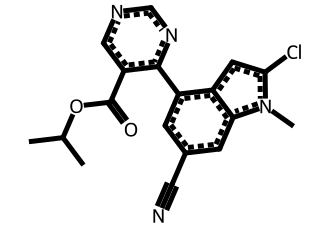 CC(C)OC(=O)c1cncnc1-c1cc(C#N)cc2c1cc(Cl)n2C